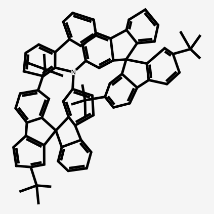 CC(C)(C)c1ccc2c(c1)C1(c3ccccc3-c3ccc(N(c4ccc5c(c4)C4(c6ccccc6-5)c5cc(C(C)(C)C)ccc5-c5ccc(C(C)(C)C)cc54)c4ccccc4-c4ccccc4)cc31)c1cc(C(C)(C)C)ccc1-2